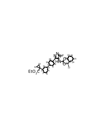 CCOC(=O)C1(c2cccc(-c3ccc(-c4nnn(C)c4NC(=O)O[C@H](C)c4ccccc4)cc3)c2)CC1